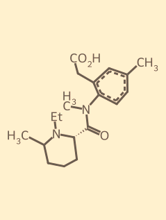 CCN1C(C)CCC[C@H]1C(=O)N(C)c1ccc(C)cc1CC(=O)O